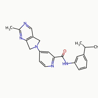 Cc1ncc2c(n1)CN(c1ccnc(C(=O)Nc3cccc(C(C)C)c3)c1)C2